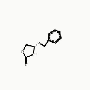 O=C1N[C@@H](OCc2ccccc2)CO1